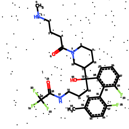 CNCCCC(=O)N1CCCC(C(O)(CCCNC(=O)C(F)(F)F)c2cccc(F)c2-c2cc(C)ccc2F)C1